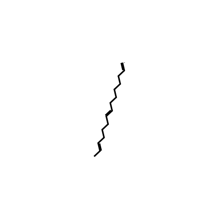 [CH]=CCCCCCC=CCCCC=CC